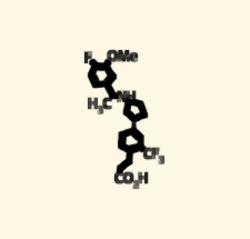 COc1cc([C@@H](C)N[C@H]2CC[C@@H](c3ccc(CCC(=O)O)c(C(F)(F)F)c3)C2)ccc1F